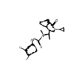 CC(c1cn(C2CC2)c(=O)c2ccccc12)N(C)C(=O)Nc1ccc(F)c(Cl)c1